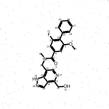 COc1cc(C(=O)N(C)Cc2cnc(CO)c3cn[nH]c23)cc(F)c1-c1ccccc1